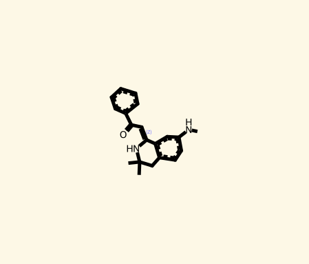 CNc1ccc2c(c1)/C(=C/C(=O)c1ccccc1)NC(C)(C)C2